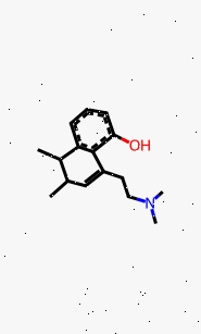 CC1C=C(CCN(C)C)c2c(O)cccc2C1C